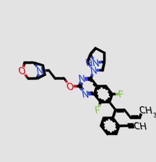 C#Cc1ccccc1/C(=C\C=C/C)c1c(F)cc2c(N3CC4CCC(C3)N4)nc(OCCCN3C4CCC3COC4)nc2c1F